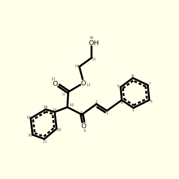 O=C(/C=C/c1ccccc1)C(C(=O)OCCO)c1ccccc1